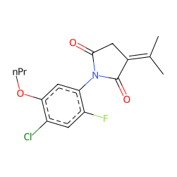 CCCOc1cc(N2C(=O)CC(=C(C)C)C2=O)c(F)cc1Cl